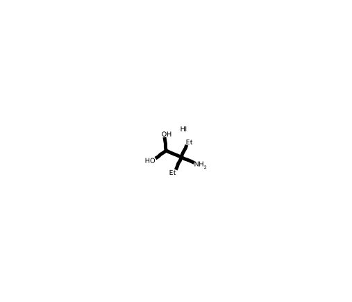 CCC(N)(CC)C(O)O.I